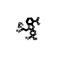 CC.CCCNP(=O)(Oc1ccccc1[N+](=O)[O-])SP(N)(=O)O